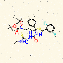 CCNC(=S)NNC(=O)N1N=C(c2cc(F)ccc2F)SC1(CCCN(OC(C)(C)C)C(=O)OC(C)(C)C)c1ccccc1